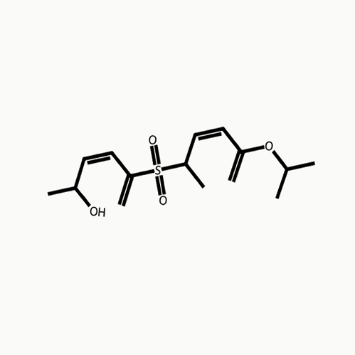 C=C(/C=C\C(C)S(=O)(=O)C(=C)/C=C\C(C)O)OC(C)C